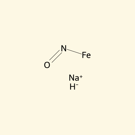 O=[N][Fe].[H-].[Na+]